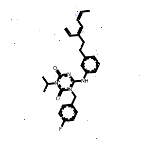 C=C/C(=C\C=C/C)CCc1cccc(Nc2nc(=O)n(C(C)C)c(=O)n2Cc2ccc(F)cc2)c1